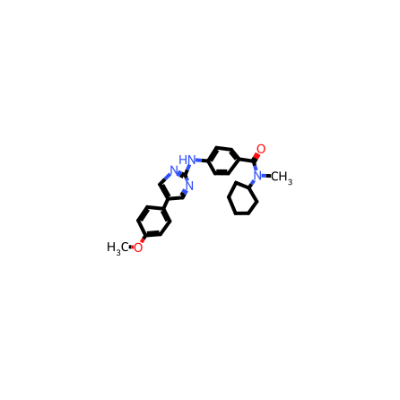 COc1ccc(-c2cnc(Nc3ccc(C(=O)N(C)C4CCCCC4)cc3)nc2)cc1